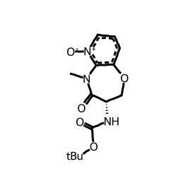 CN1C(=O)[C@@H](NC(=O)OC(C)(C)C)COc2ccc[n+]([O-])c21